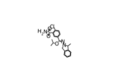 CC(C)O/C(=N\N1Cc2ccccc2C1C)c1ccc(Cl)c(S(N)(=O)=O)c1